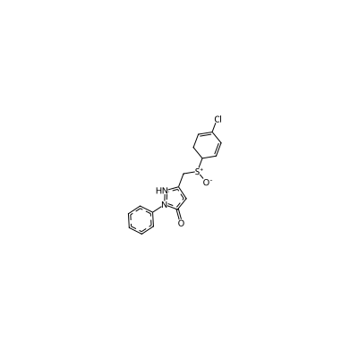 O=c1cc(C[S+]([O-])C2C=CC(Cl)=CC2)[nH]n1-c1ccccc1